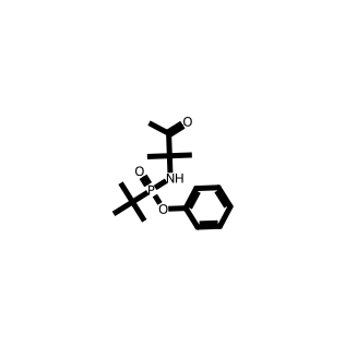 CC(=O)C(C)(C)NP(=O)(Oc1ccccc1)C(C)(C)C